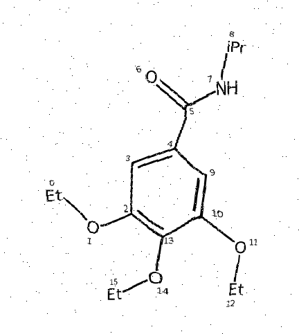 CCOc1cc(C(=O)NC(C)C)cc(OCC)c1OCC